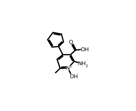 Cc1cc(-c2ccccc2)c(C(=O)O)c(N)[n+]1O